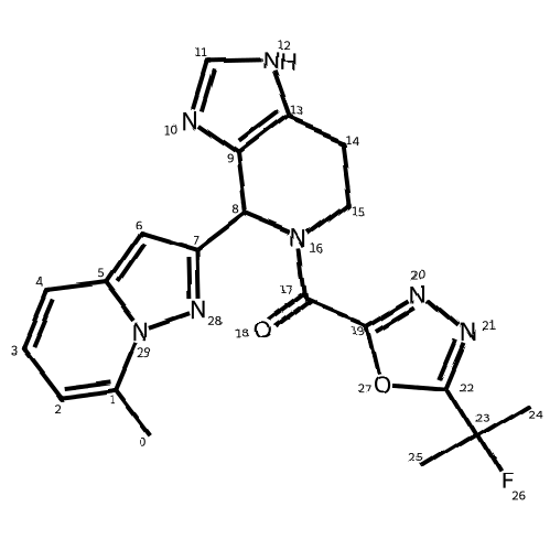 Cc1cccc2cc(C3c4nc[nH]c4CCN3C(=O)c3nnc(C(C)(C)F)o3)nn12